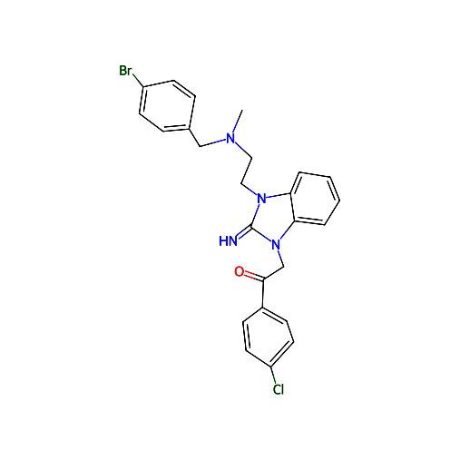 CN(CCn1c(=N)n(CC(=O)c2ccc(Cl)cc2)c2ccccc21)Cc1ccc(Br)cc1